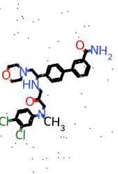 CN(CC(=O)CNC(CN1CCOCC1)c1ccc(-c2cccc(C(N)=O)c2)cc1)c1ccc(Cl)c(Cl)c1